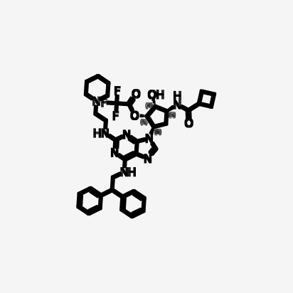 O=C(N[C@H]1C[C@@H](n2cnc3c(NCC(c4ccccc4)c4ccccc4)nc(NCCN4CCCCC4)nc32)[C@H](OC(=O)C(F)(F)F)[C@@H]1O)C1CCC1